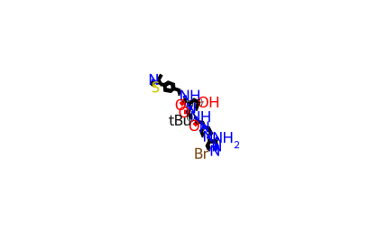 Cc1ncsc1-c1ccc(CCNC(=O)[C@@H]2C[C@H](O)CN2C(=O)[C@@H](NC(=O)CN2CCN(c3cc(Br)nnc3N)CC2)C(C)(C)C)cc1